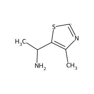 Cc1n[c]sc1C(C)N